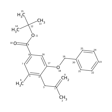 C=C(C)Cc1c(C)cc(C(=O)OC(C)(C)C)cc1OCc1ccccc1